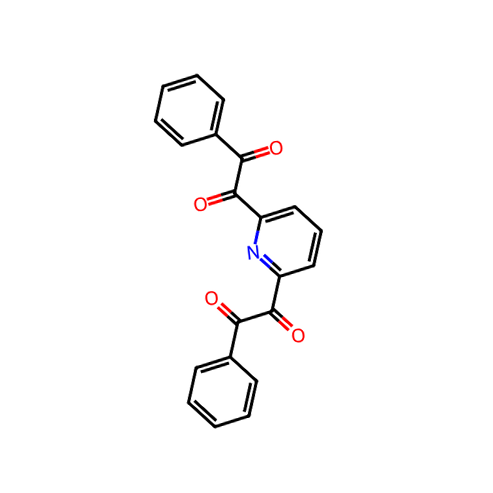 O=C(C(=O)c1cccc(C(=O)C(=O)c2ccccc2)n1)c1ccccc1